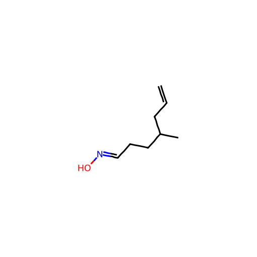 C=CCC(C)CC/C=N/O